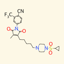 CC1=C(CCCCCN2CCN(S(=O)(=O)C3CC3)CC2)C(=O)N(c2ccc(C#N)c(C(F)(F)F)c2)C1=O